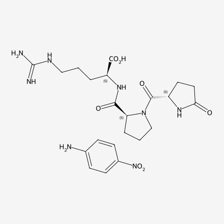 N=C(N)NCCC[C@H](NC(=O)[C@@H]1CCCN1C(=O)[C@@H]1CCC(=O)N1)C(=O)O.Nc1ccc([N+](=O)[O-])cc1